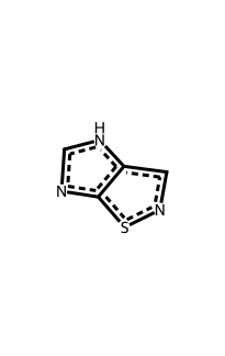 c1nc2sncc2[nH]1